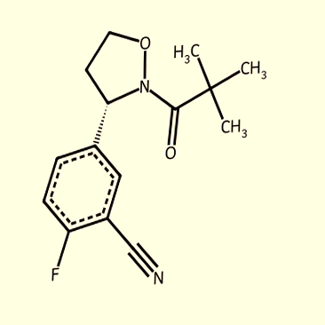 CC(C)(C)C(=O)N1OCC[C@H]1c1ccc(F)c(C#N)c1